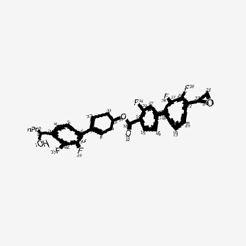 CCCC(O)c1ccc(C2=CCC(OC(=O)c3ccc(-c4ccc(C5CO5)c(F)c4F)cc3F)CC2)c(F)c1F